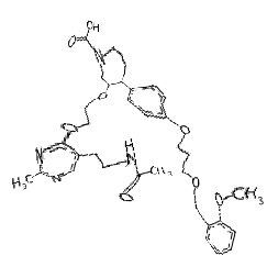 COc1ccccc1COCCCOc1ccc(C2CCN(C(=O)O)CC2OCCOc2nc(C)ncc2CCNC(C)=O)cc1